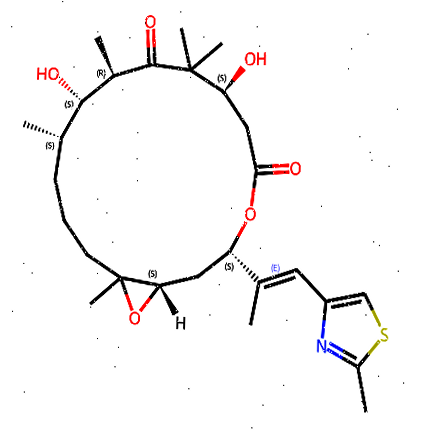 C/C(=C\c1csc(C)n1)[C@@H]1C[C@@H]2OC2(C)CCC[C@H](C)[C@H](O)[C@@H](C)C(=O)C(C)(C)[C@@H](O)CC(=O)O1